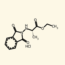 CCOC(=O)[C@H](C)NN1C(=O)c2ccccc2C1=O.Cl